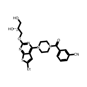 CCc1cc2c(N3CCN(C(=O)c4cccc(C#N)c4)CC3)nc(OC[C@H](O)CO)nc2s1